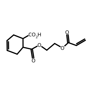 C=CC(=O)OCCOC(=O)C1CC=CCC1C(=O)O